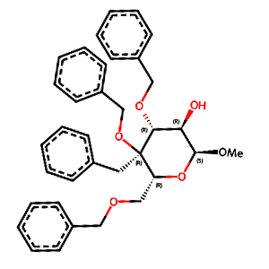 CO[C@H]1O[C@H](COCc2ccccc2)[C@@](Cc2ccccc2)(OCc2ccccc2)[C@H](OCc2ccccc2)[C@H]1O